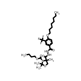 CCCCCCCCOc1ccc(C(=O)NNC(=O)C2(C)COC(C)(C)N2C(=O)OCCCC)cc1C(F)(F)F